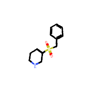 O=S(=O)(Cc1ccccc1)C1CCCNC1